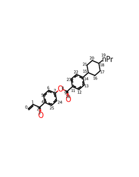 C=CC(=O)c1ccc(OC(=O)c2ccc(C3CCC(CCC)CC3)cc2)cc1